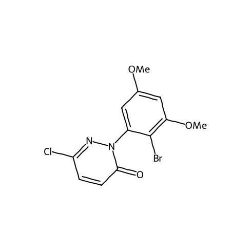 COc1cc(OC)c(Br)c(-n2nc(Cl)ccc2=O)c1